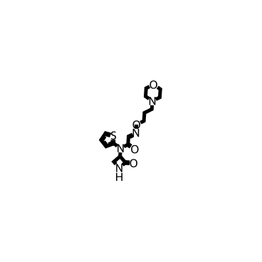 O=C1NCC1N(C(=O)C=NOCCCN1CCOCC1)c1cccs1